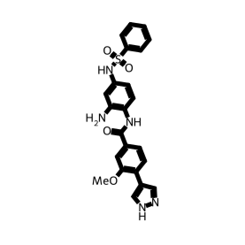 COc1cc(C(=O)Nc2ccc(NS(=O)(=O)c3ccccc3)cc2N)ccc1-c1cn[nH]c1